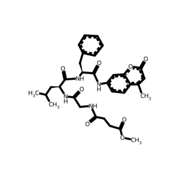 COC(=O)CCC(=O)NCC(=O)N[C@@H](CC(C)C)C(=O)N[C@@H](Cc1ccccc1)C(=O)Nc1ccc2c(C)cc(=O)oc2c1